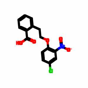 O=C(O)c1ccccc1CCOc1ccc(Cl)cc1[N+](=O)[O-]